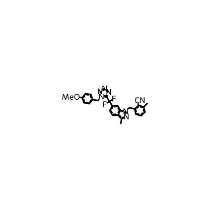 COc1ccc(Cn2nnnc2C(F)(F)c2ccc3c(C)nn(Cc4cccc(C)c4C#N)c3c2)cc1